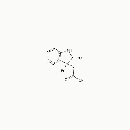 O=C(O)CC1(Br)C(=O)Nc2ccccc21